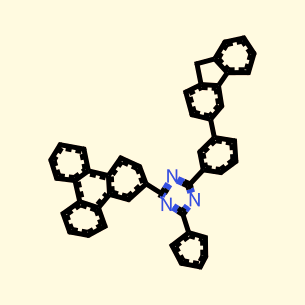 c1ccc(-c2nc(-c3cccc(-c4ccc5c(c4)-c4ccccc4C5)c3)nc(-c3ccc4c5ccccc5c5ccccc5c4c3)n2)cc1